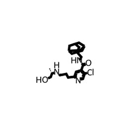 C[C@@H](CO)NCCCc1cc(C(=O)NCC23CC4CC(CC(C4)C2)C3)c(Cl)cn1